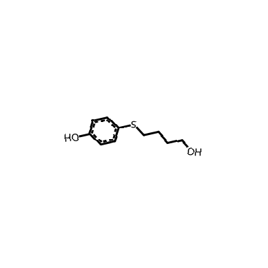 OCCCCSc1ccc(O)cc1